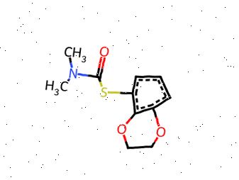 CN(C)C(=O)Sc1cccc2c1OCCO2